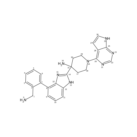 NCc1ccccc1-c1cccc2[nH]c(C3(N)CCN(c4ncnc5[nH]ccc45)CC3)nc12